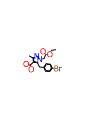 CCOC(=O)Cn1nc(C)c(C(=O)OC)c1Cc1ccc(Br)cc1